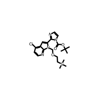 CC(C)(C)OC(=O)n1ccnc1-c1cc2c(Cl)ccnc2n1COCC[Si](C)(C)C